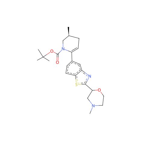 C[C@H]1CC=C(c2ccc3sc(C4CN(C)CCO4)nc3c2)N(C(=O)OC(C)(C)C)C1